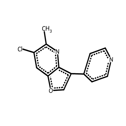 Cc1nc2c(-c3ccncc3)coc2cc1Cl